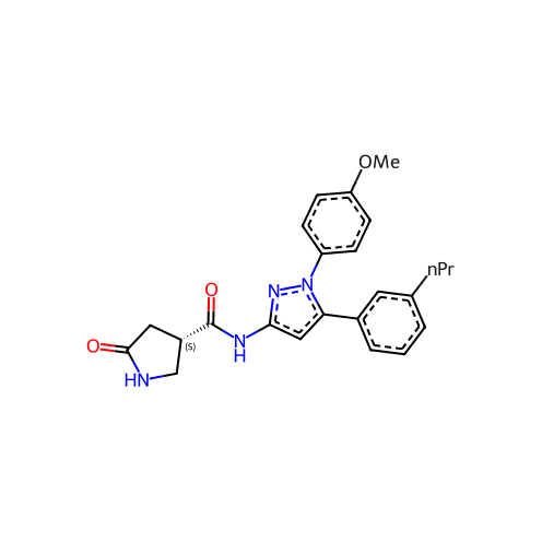 CCCc1cccc(-c2cc(NC(=O)[C@@H]3CNC(=O)C3)nn2-c2ccc(OC)cc2)c1